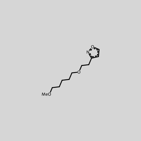 COCCCCCOCCc1ccon1